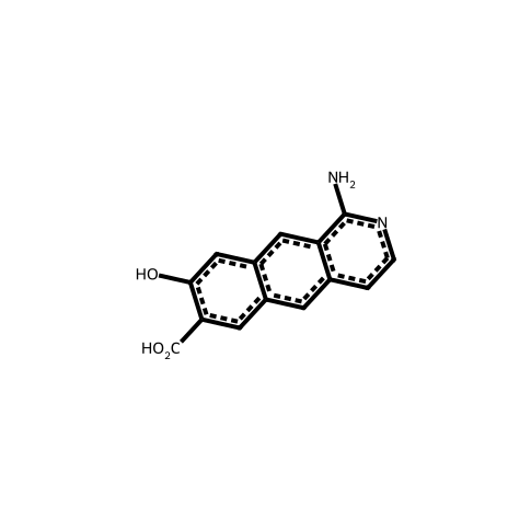 Nc1nccc2cc3cc(C(=O)O)c(O)cc3cc12